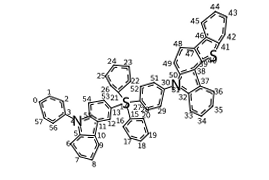 c1ccc(-n2c3ccccc3c3cc(S(c4ccccc4)(c4ccccc4)c4ccc(-n5c6ccccc6c6c7sc8ccccc8c7ccc65)cc4)ccc32)cc1